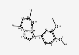 COc1ccc(-c2cnn3c(C)cc(C)nc23)cc1OC